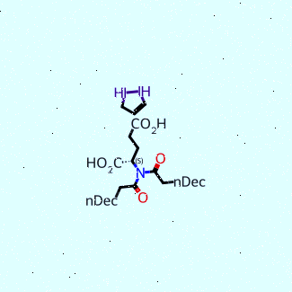 C1=C[IH][IH]C1.CCCCCCCCCCCC(=O)N(C(=O)CCCCCCCCCCC)[C@@H](CCC(=O)O)C(=O)O